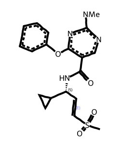 CNc1ncc(C(=O)N[C@H](/C=C/S(C)(=O)=O)C2CC2)c(Oc2ccccc2)n1